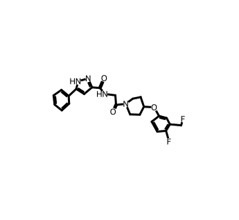 O=C(NCC(=O)N1CCC(Oc2ccc(F)c(CF)c2)CC1)c1cc(-c2ccccc2)[nH]n1